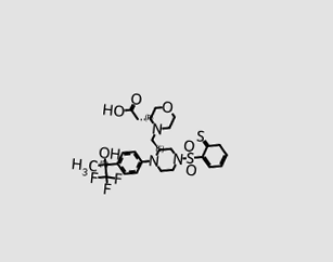 C[C@@](O)(c1ccc(N2CCN(S(=O)(=O)C3=CC=CCC3=S)C[C@@H]2CN2CCOC[C@H]2CC(=O)O)cc1)C(F)(F)F